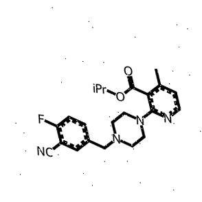 Cc1ccnc(N2CCN(Cc3ccc(F)c(C#N)c3)CC2)c1C(=O)OC(C)C